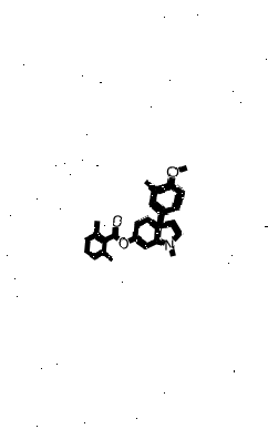 COc1ccc(C23CCC(OC(=O)c4c(C)cccc4C)=CC2N(C)CC3)cc1C